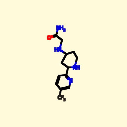 NC(=O)CNC1CCNC(c2ccc(C(F)(F)F)cn2)C1